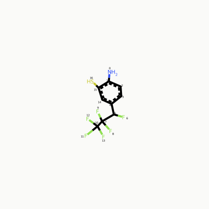 Nc1ccc(C(F)C(F)(F)C(F)(F)F)cc1S